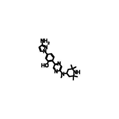 CN(c1cnc(-c2ccc(-n3ccc(N)n3)cc2O)cn1)C1CC(C)(C)NC(C)(C)C1